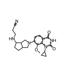 COc1c(N2CC3CCC(NCCC#N)C3C2)ccc2c(=O)[nH]c(=O)n(C3CC3)c12